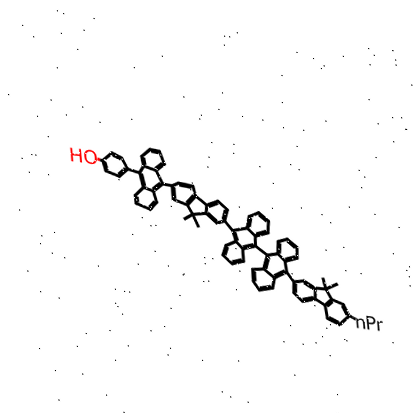 CCCc1ccc2c(c1)C(C)(C)c1cc(-c3c4ccccc4c(-c4c5ccccc5c(-c5ccc6c(c5)C(C)(C)c5cc(-c7c8ccccc8c(-c8ccc(O)cc8)c8ccccc78)ccc5-6)c5ccccc45)c4ccccc34)ccc1-2